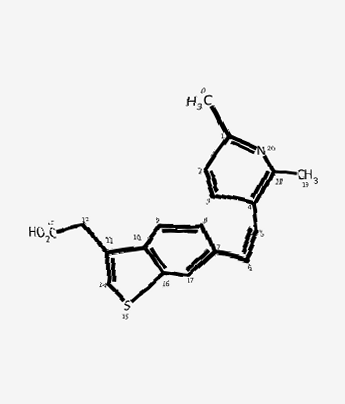 Cc1ccc(/C=C\c2ccc3c(CC(=O)O)csc3c2)c(C)n1